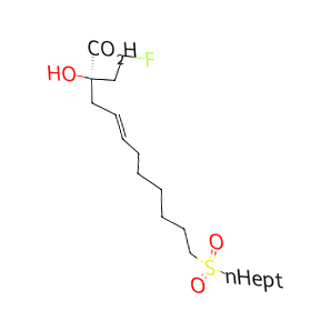 CCCCCCCS(=O)(=O)CCCCCC/C=C/C[C@@](O)(CCF)C(=O)O